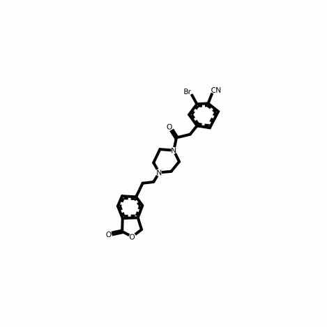 N#Cc1ccc(CC(=O)N2CCN(CCc3ccc4c(c3)COC4=O)CC2)cc1Br